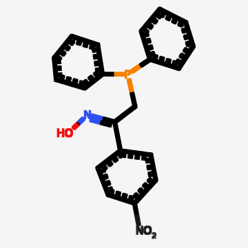 O=[N+]([O-])c1ccc(C(CP(c2ccccc2)c2ccccc2)=NO)cc1